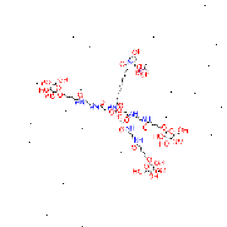 CC(C)P(=O)(O)OC[C@@H]1C[C@@H](O)CN1C(=O)CCCCCCCCCCC(=O)NC(COCCC(=O)NCCCNC(=O)CCCCO[C@@H]1OC(CO)[C@H](O)C(O)C1O)(OCCC(=O)NCCCNC(=O)CCCCO[C@@H]1OC(CO)[C@H](O)C(O)C1O)OCCC(=O)NCCCNC(=O)CCCCO[C@@H]1OC(CO)[C@H](O)C(O)C1O